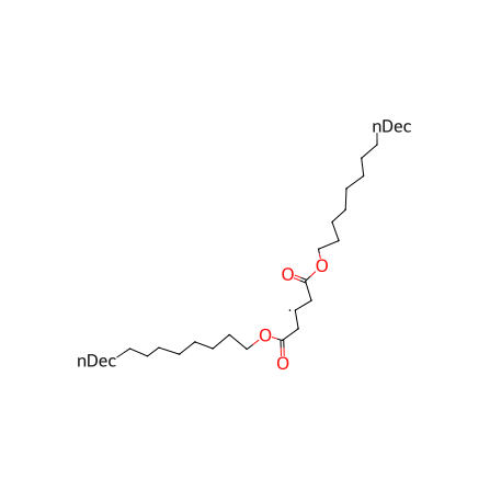 CCCCCCCCCCCCCCCCCCOC(=O)C[CH]CC(=O)OCCCCCCCCCCCCCCCCCC